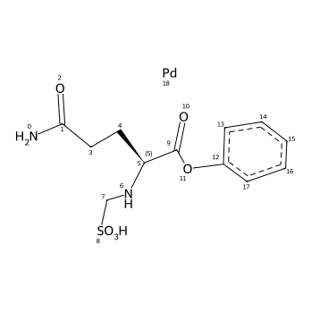 NC(=O)CC[C@H](NCS(=O)(=O)O)C(=O)Oc1ccccc1.[Pd]